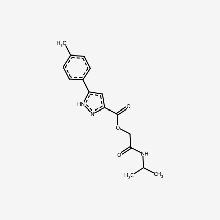 Cc1ccc(-c2cc(C(=O)OCC(=O)NC(C)C)n[nH]2)cc1